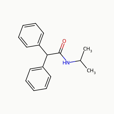 CC(C)NC(=O)C(c1ccccc1)c1ccccc1